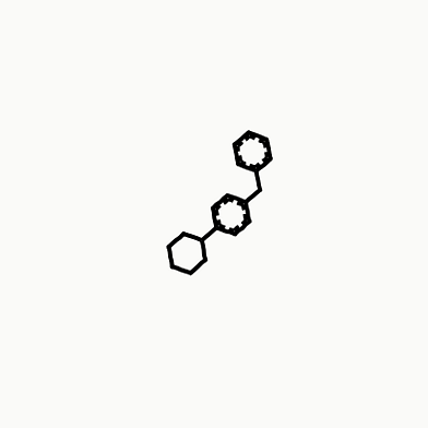 c1ccc(Cc2ccc(C3CCCCC3)cc2)cc1